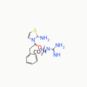 CC(=O)O.N=C(N)N.NC1SC=CN1C(=O)Cc1ccccc1